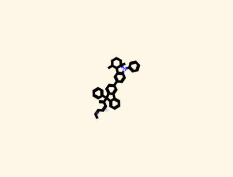 C=C(/C=C\C=C/C)C1(c2ccccc2)c2ccccc2-c2cc(-c3ccc4c(c3)C3C(C)CCCC3(C)N4c3ccccc3)ccc21